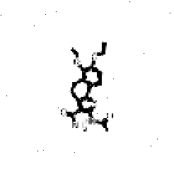 CCOc1ccc2c(c1OCC)CCc1c-2sc(NC(C)=O)c1C(N)=O